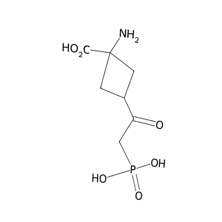 NC1(C(=O)O)CC(C(=O)CP(=O)(O)O)C1